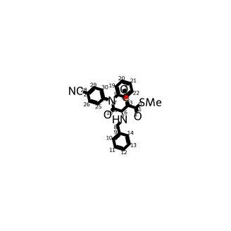 CSC(=O)C(=C=O)[C@H](NCc1ccccc1)C(=O)N(c1ccccc1)c1ccc(C#N)cc1